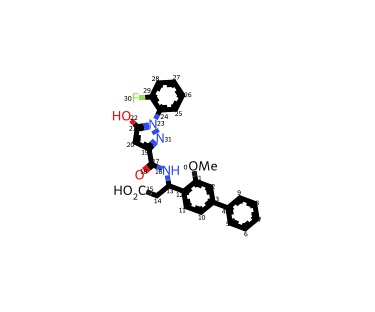 COc1cc(-c2ccccc2)ccc1C(CC(=O)O)NC(=O)c1cc(O)n(-c2ccccc2F)n1